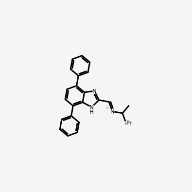 CC(C)C(C)/N=C/c1nc2c(-c3ccccc3)ccc(-c3ccccc3)c2[nH]1